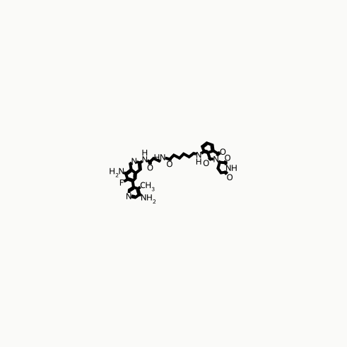 Cc1c(N)cncc1-c1cc2cc(NC(=O)CCNC(=O)CCCCCNc3cccc4c3C(=O)N(C3CCC(=O)NC3=O)C4=O)ncc2c(N)c1F